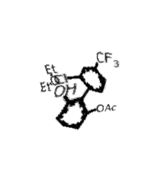 CC(=O)Oc1cccc(O)c1-c1ccc(C(F)(F)F)cc1Cl.CCOCC